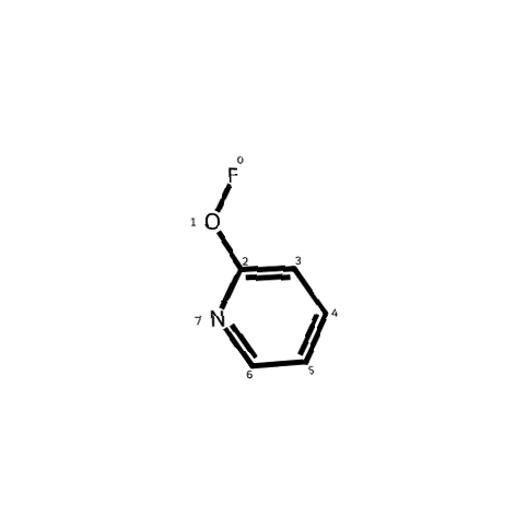 FOc1ccccn1